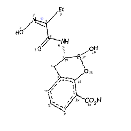 CC/C(=N/O)C(=O)N[C@H]1Cc2cccc(C(=O)O)c2OB1O